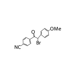 COc1ccc(C(Br)C(=O)c2ccc(C#N)cc2)cc1